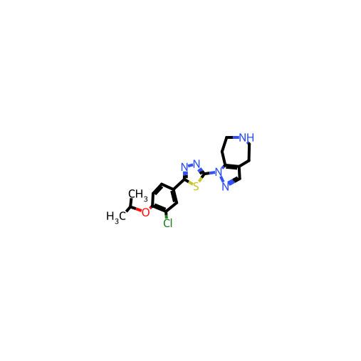 CC(C)Oc1ccc(-c2nnc(-n3ncc4c3CCNCC4)s2)cc1Cl